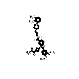 CNC(=O)C1CC(n2c(-c3ccc(OC)c(OC)c3)nc3ccc(C(=O)NCCCN4CCN(c5cccc(C)c5C)CC4)cc32)C1